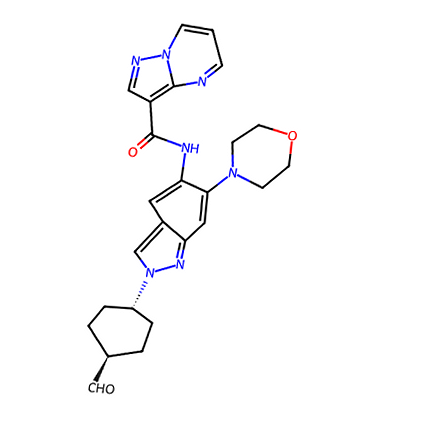 O=C[C@H]1CC[C@H](n2cc3cc(NC(=O)c4cnn5cccnc45)c(N4CCOCC4)cc3n2)CC1